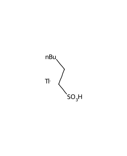 CCCCCCS(=O)(=O)O.[Tl]